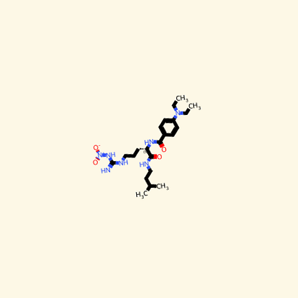 CCN(CC)c1ccc(C(=O)N[C@@H](CCCNC(=N)N[N+](=O)[O-])C(=O)N[CH]CC(C)C)cc1